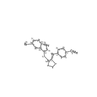 COc1ccc(N=C2CCCN2Cc2c[nH]c3ccc(Br)cc23)cc1